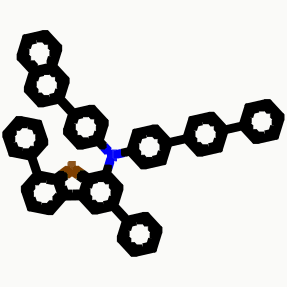 c1ccc(-c2ccc(-c3ccc(N(c4ccc(-c5ccc6ccccc6c5)cc4)c4cc(-c5ccccc5)cc5c4sc4c(-c6ccccc6)cccc45)cc3)cc2)cc1